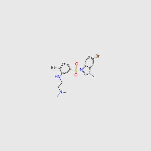 CCc1ccc(S(=O)(=O)n2cc(C)c3cc(Br)ccc32)cc1NCCN(C)C